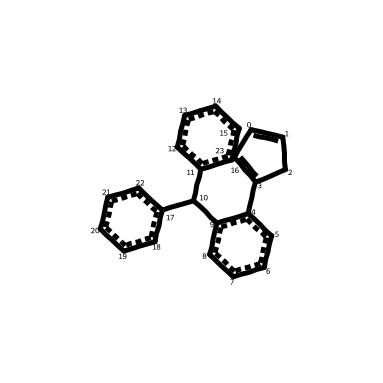 C1=CCC(c2ccccc2C(c2ccccc2)c2ccccc2)=C1